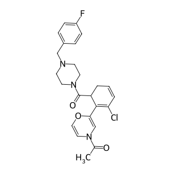 CC(=O)N1C=COC(C2=C(Cl)C=CCC2C(=O)N2CCN(Cc3ccc(F)cc3)CC2)=C1